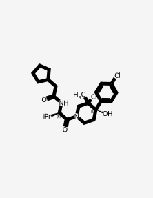 CC(C)[C@@H](NC(=O)CC1CCCC1)C(=O)N1CC[C@](O)(c2ccc(Cl)cc2)C(C)(C)C1